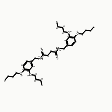 CCCCOc1ccc(CNC(=O)CCC(=O)NCc2ccc(OCCCC)c(OCCCC)c2)cc1OCCCC